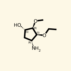 CCO[C@@H]1[C@H](OC)[C@@H](O)C[C@H]1N